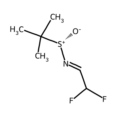 CC(C)(C)[S@+]([O-])N=CC(F)F